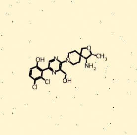 C[C@@H]1OCC2(CCN(c3ncc(-c4c(O)ccc(Cl)c4Cl)nc3CO)CC2)[C@@H]1N